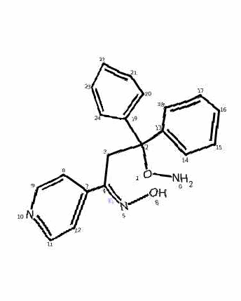 NOC(C/C(=N\O)c1ccncc1)(c1ccccc1)c1ccccc1